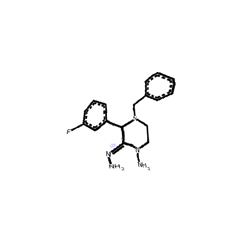 N/N=C1/C(c2cccc(F)c2)N(Cc2ccccc2)CCN1N